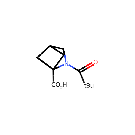 CC(C)(C)C(=O)N1CC2CC1(C(=O)O)C2